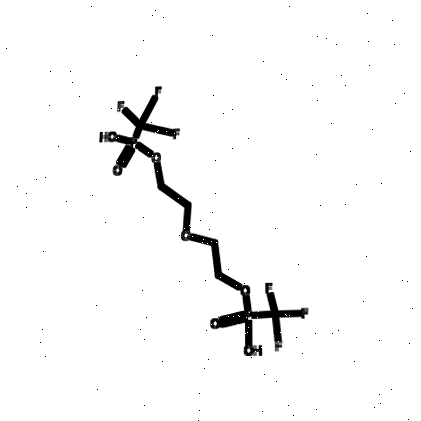 O=P(O)(OCCOCCOP(=O)(O)C(F)(F)F)C(F)(F)F